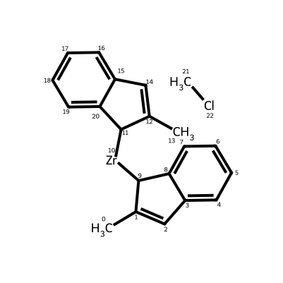 CC1=Cc2ccccc2[CH]1[Zr][CH]1C(C)=Cc2ccccc21.CCl